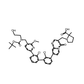 COc1nc(-c2cccc(-c3cccc(-c4ccn5c(=O)c(CN6CCCC6(C)C(=O)O)cnc5c4)c3Cl)c2Cl)ccc1CN(CCO)C(=O)OC(C)(C)C